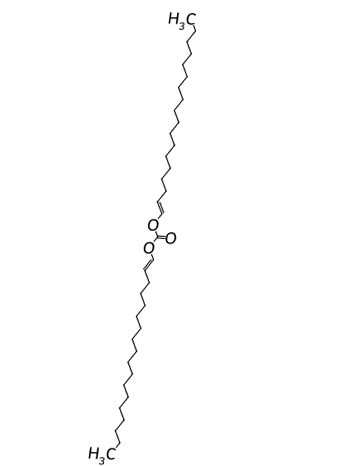 CCCCCCCCCCCCCCCCC=COC(=O)OC=CCCCCCCCCCCCCCCCC